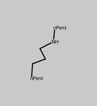 CCCCCCCCNCCCCC